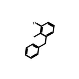 CCc1cccc(Cc2ccccc2)c1C